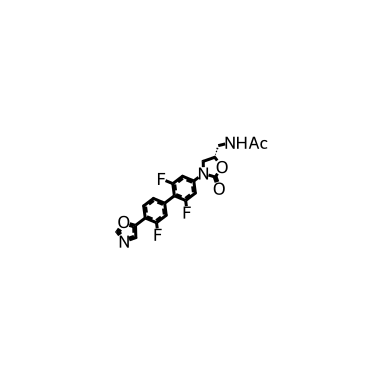 CC(=O)NC[C@H]1CN(c2cc(F)c(-c3ccc(-c4cnco4)c(F)c3)c(F)c2)C(=O)O1